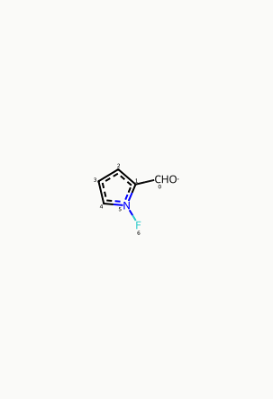 O=[C]c1cccn1F